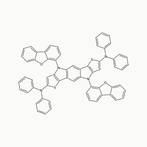 c1ccc(N(c2ccccc2)c2cc3c(s2)c2cc4c(cc2n3-c2cccc3c2oc2ccccc23)c2sc(N(c3ccccc3)c3ccccc3)cc2n4-c2cccc3c2oc2ccccc23)cc1